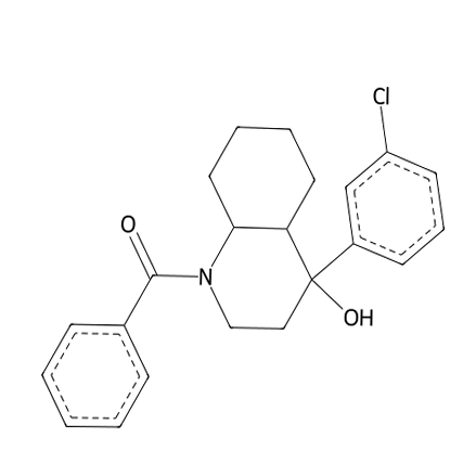 O=C(c1ccccc1)N1CCC(O)(c2cccc(Cl)c2)C2CCCCC21